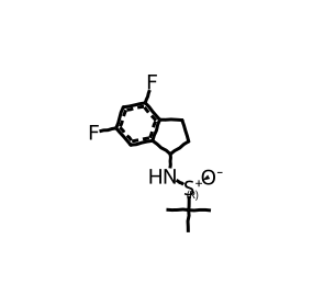 CC(C)(C)[S@+]([O-])NC1CCc2c(F)cc(F)cc21